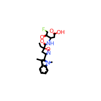 CCC1(C(=O)NC(CC(=O)O)C(=O)CF)CC(c2c(C)c3ccccc3n2C)=NO1